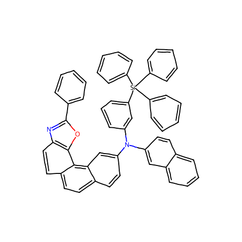 c1ccc(-c2nc3ccc4ccc5ccc(N(c6cccc([Si](c7ccccc7)(c7ccccc7)c7ccccc7)c6)c6ccc7ccccc7c6)cc5c4c3o2)cc1